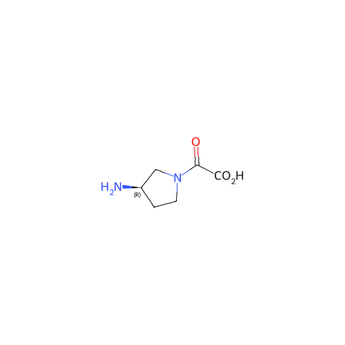 N[C@@H]1CCN(C(=O)C(=O)O)C1